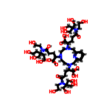 O=C(O)C(CCC(=O)N(CCO)C(CO)(CCO)CCO)N1CCN(C(CCC(=O)N(CCO)C(CO)(CO)CO)C(=O)O)Cc2cccc(n2)CN(C(CCC(=O)N(CCO)C(CO)(CO)CO)C(=O)O)CC1